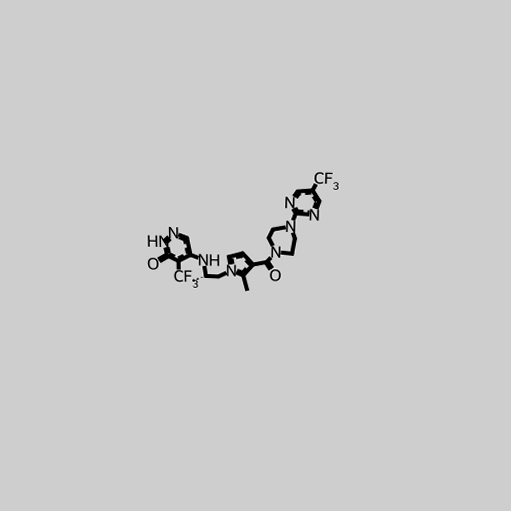 Cc1c(C(=O)N2CCN(c3ncc(C(F)(F)F)cn3)CC2)ccn1C[C@H](C)Nc1cn[nH]c(=O)c1C(F)(F)F